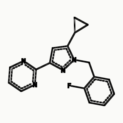 Fc1ccccc1Cn1nc(-c2ncccn2)cc1C1CC1